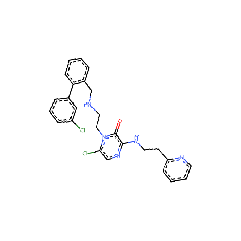 O=c1c(NCCc2ccccn2)ncc(Cl)n1CCNCc1ccccc1-c1cccc(Cl)c1